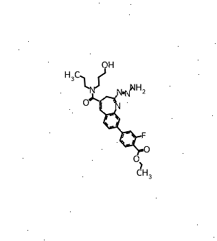 CCCN(CCCO)C(=O)C1=Cc2ccc(-c3ccc(C(=O)OCC)c(F)c3)cc2N=C(N=NN)C1